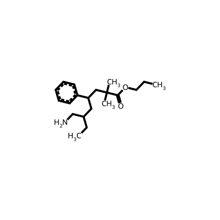 CCCOC(=O)C(C)(C)CC(CC(CC)CN)c1ccccc1